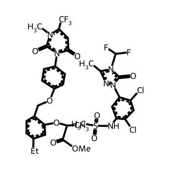 CCc1ccc(COc2ccc(-n3c(=O)cc(C(F)(F)F)n(C)c3=O)cc2)c(OC(C)C(=O)OC)c1.Cc1nn(-c2cc(NS(C)(=O)=O)c(Cl)cc2Cl)c(=O)n1C(F)F